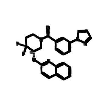 O=C(c1cccc(-n2cccn2)c1)N1CCC(F)(F)[C@@H](Oc2ccc3ccccc3n2)C1